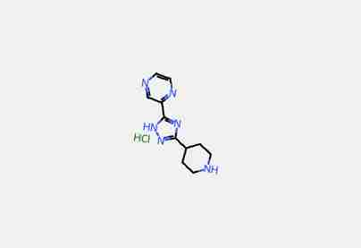 Cl.c1cnc(-c2nc(C3CCNCC3)n[nH]2)cn1